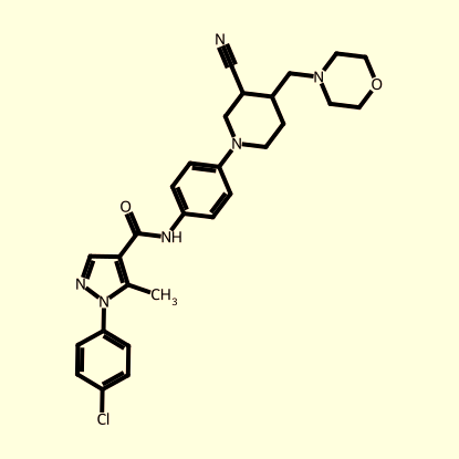 Cc1c(C(=O)Nc2ccc(N3CCC(CN4CCOCC4)C(C#N)C3)cc2)cnn1-c1ccc(Cl)cc1